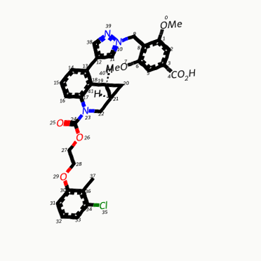 COc1cc(C(=O)O)cc(OC)c1Cn1cc(-c2cccc3c2[C@H]2C[C@H]2CN3C(=O)OCCOc2cccc(Cl)c2C)cn1